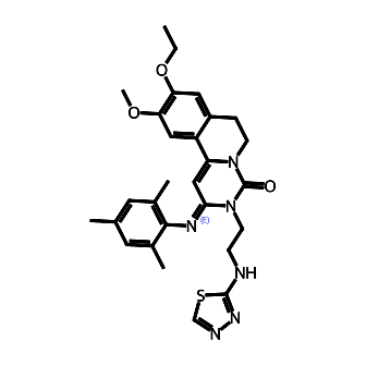 CCOc1cc2c(cc1OC)-c1c/c(=N\c3c(C)cc(C)cc3C)n(CCNc3nncs3)c(=O)n1CC2